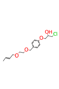 CC=CCOCCOCc1ccc(OCC(O)CCl)cc1